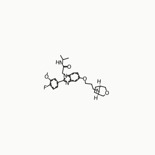 COc1cc(-c2nc3cc(OCCCN4[C@@H]5CC[C@H]4COC5)ccc3n2CC(=O)NC(C)C)ccc1F